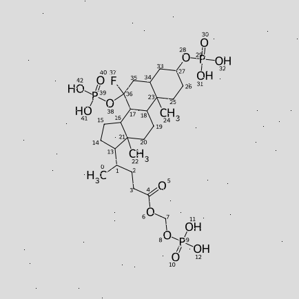 CC(CCC(=O)OCOP(=O)(O)O)C1CCC2C3C(CCC12C)C1(C)CCC(OP(=O)(O)O)CC1CC3(F)OP(=O)(O)O